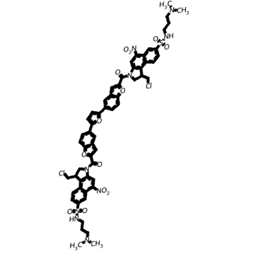 CN(C)CCCNS(=O)(=O)c1ccc2c3c(cc([N+](=O)[O-])c2c1)N(C(=O)c1cc2cc(-c4ccc(-c5ccc6oc(C(=O)N7CC(CCl)c8c7cc([N+](=O)[O-])c7cc(S(=O)(=O)NCCCN(C)C)ccc87)cc6c5)o4)ccc2o1)CC3CCl